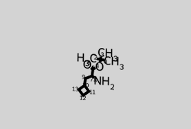 CC(C)(C)OC(=O)C(N)CC1CCC1